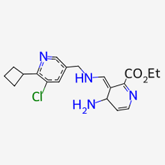 CCOC(=O)C1=NC=CC(N)/C1=C\NCc1cnc(C2CCC2)c(Cl)c1